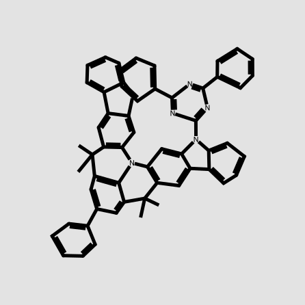 CC1(C)c2cc3c(cc2N2c4cc5c(cc4C(C)(C)c4cc(-c6ccccc6)cc1c42)c1ccccc1n5-c1nc(-c2ccccc2)nc(-c2ccccc2)n1)oc1ccccc13